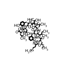 CC[C@H](C)[C@H](NC(=O)[C@H](CCSC)NC(=O)[C@@H](N)CCSC)C(=O)N[C@@H](Cc1ccccc1)C(=O)N[C@@H](CC(C)C)C(=O)N[C@H](C(=O)N[C@@H](Cc1ccc(O)cc1)C(=O)N[C@@H](CC(=O)O)C(=O)N[C@@H](CC(C)C)C(=O)O)[C@@H](C)O